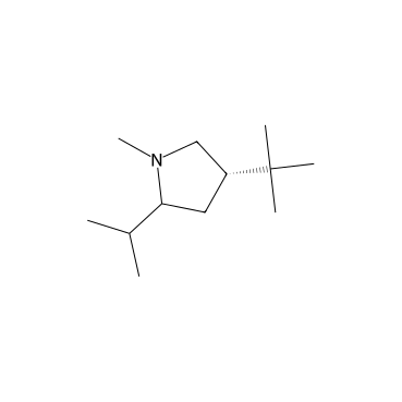 CC(C)C1C[C@@H](C(C)(C)C)CN1C